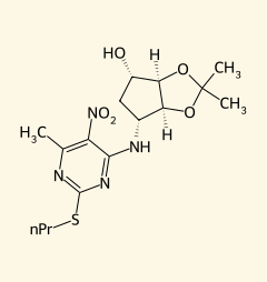 CCCSc1nc(C)c([N+](=O)[O-])c(N[C@@H]2C[C@H](O)[C@H]3OC(C)(C)O[C@H]32)n1